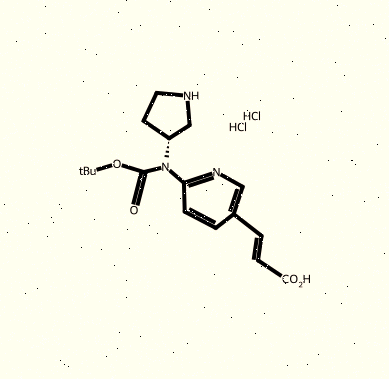 CC(C)(C)OC(=O)N(c1ccc(C=CC(=O)O)cn1)[C@@H]1CCNC1.Cl.Cl